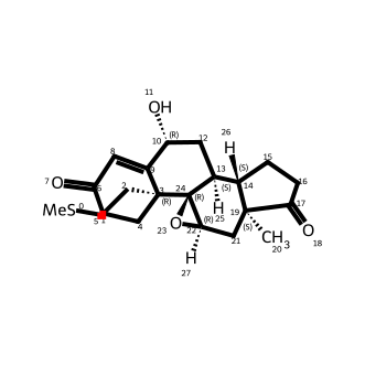 CSCC[C@]12CCC(=O)C=C1[C@H](O)C[C@H]1[C@@H]3CCC(=O)[C@@]3(C)C[C@H]3O[C@]312